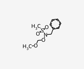 COCON(Cc1ccccc1)S(C)(=O)=O